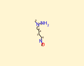 CN(N)CCCCN=O